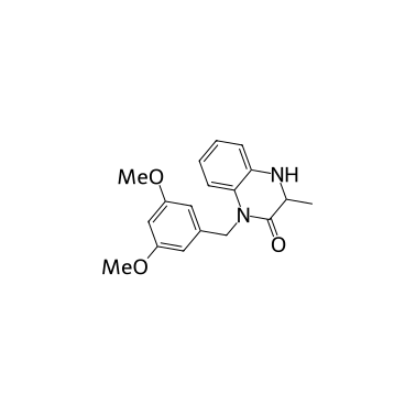 COc1cc(CN2C(=O)C(C)Nc3ccccc32)cc(OC)c1